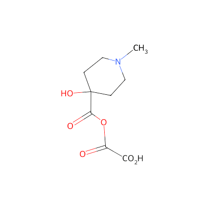 CN1CCC(O)(C(=O)OC(=O)C(=O)O)CC1